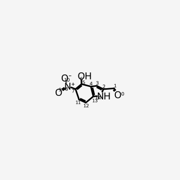 O=Cc1cc2c(O)c([N+](=O)[O-])ccc2[nH]1